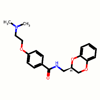 CN(C)CCOc1ccc(C(=O)NC[C@@H]2COc3ccccc3O2)cc1